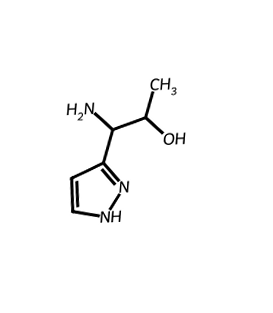 CC(O)C(N)c1cc[nH]n1